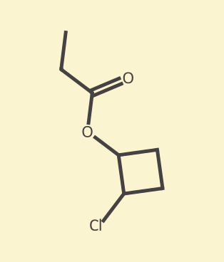 CCC(=O)OC1CCC1Cl